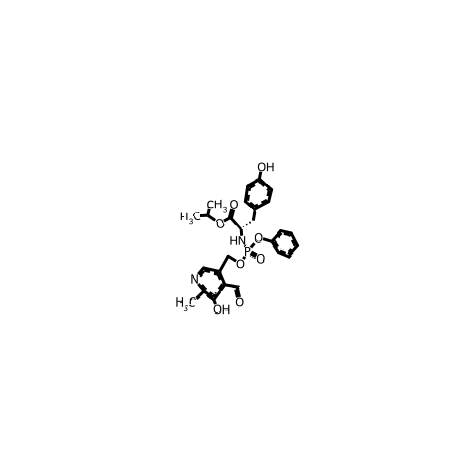 Cc1ncc(COP(=O)(N[C@@H](Cc2ccc(O)cc2)C(=O)OC(C)C)Oc2ccccc2)c(C=O)c1O